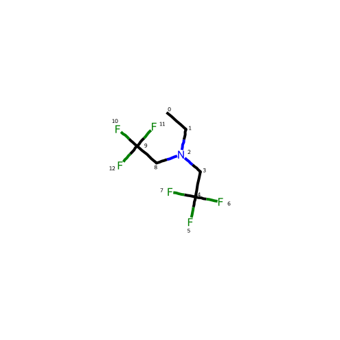 CCN(CC(F)(F)F)CC(F)(F)F